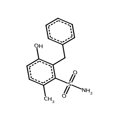 Cc1ccc(O)c(Cc2ccccc2)c1S(N)(=O)=O